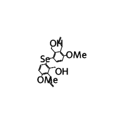 C=CCc1c(OC)ccc([Se]c2ccc(OC)c(CC=C)c2CO)c1CO